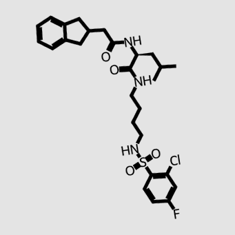 CC(C)C[C@H](NC(=O)CC1Cc2ccccc2C1)C(=O)NCCCCNS(=O)(=O)c1ccc(F)cc1Cl